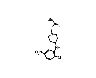 CC(C)(C)C(=O)ON1CCC(Nc2cc([N+](=O)[O-])ccc2Cl)CC1